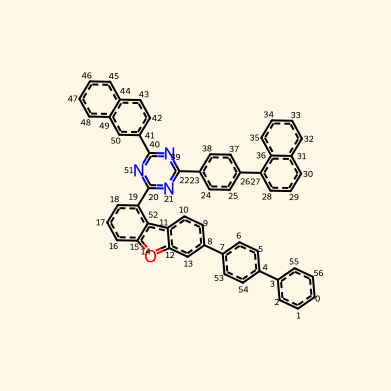 c1ccc(-c2ccc(-c3ccc4c(c3)oc3cccc(-c5nc(-c6ccc(-c7cccc8ccccc78)cc6)nc(-c6ccc7ccccc7c6)n5)c34)cc2)cc1